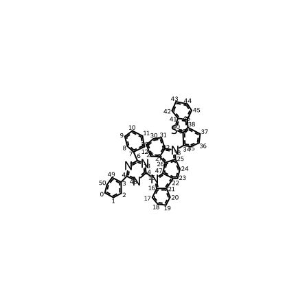 c1ccc(-c2nc(-c3ccccc3)nc(-n3c4ccccc4c4ccc5c(c6ccccc6n5-c5cccc6c5sc5ccccc56)c43)n2)cc1